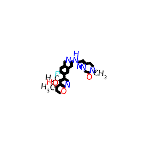 Cc1c(-c2cc3cc(Nc4cc5n(n4)CC(=O)N(C)CC5)ncc3cc2F)cnc2c1[C@@](C)(O)CCO2